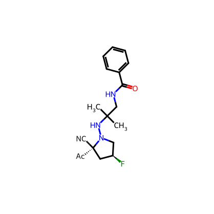 CC(=O)[C@@]1(C#N)C[C@H](F)CN1NC(C)(C)CNC(=O)c1ccccc1